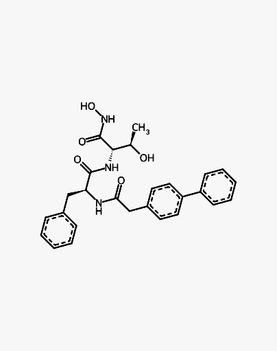 C[C@@H](O)[C@H](NC(=O)[C@H](Cc1ccccc1)NC(=O)Cc1ccc(-c2ccccc2)cc1)C(=O)NO